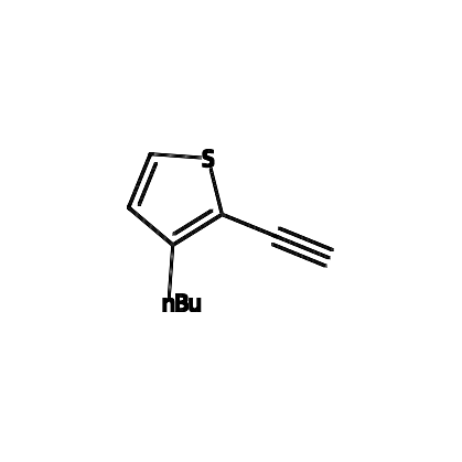 C#Cc1sccc1CCCC